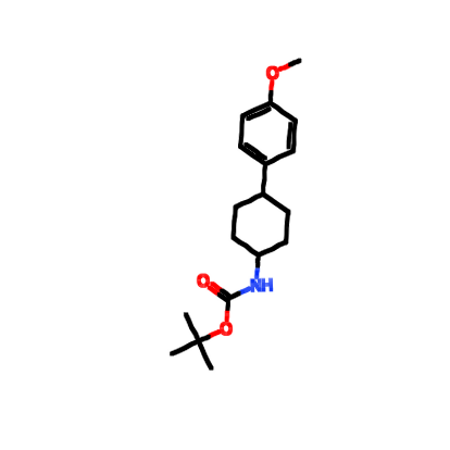 COc1ccc(C2CCC(NC(=O)OC(C)(C)C)CC2)cc1